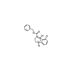 O=C(OCc1ccccc1)N1CC[C@@H]2C[C@H]1c1c(Cl)cccc12